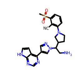 CS(=O)(=O)c1cccc(N2CCC(C(CN)n3cc(-c4ncnc5[nH]ccc45)cn3)C2)c1C#N